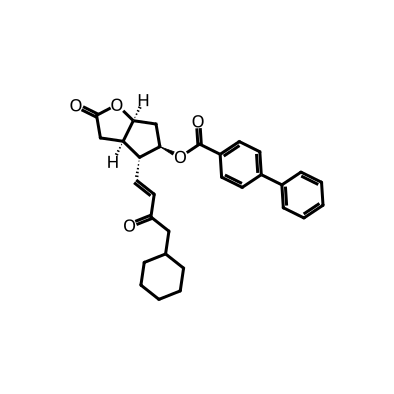 O=C(/C=C/[C@@H]1[C@H]2CC(=O)O[C@H]2C[C@H]1OC(=O)c1ccc(-c2ccccc2)cc1)CC1CCCCC1